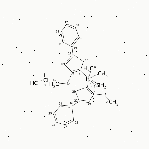 CCC1=[C]([Hf]([CH3])([CH3])(=[SiH2])[C]2=C(CC)C=C(c3ccccc3)C2)CC(c2ccccc2)=C1.Cl.Cl